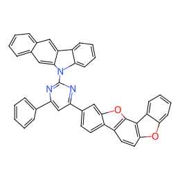 c1ccc(-c2cc(-c3ccc4c(c3)oc3c4ccc4oc5ccccc5c43)nc(-n3c4ccccc4c4cc5ccccc5cc43)n2)cc1